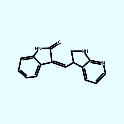 O=C1Nc2ccccc2/C1=C/C1CNc2ncccc21